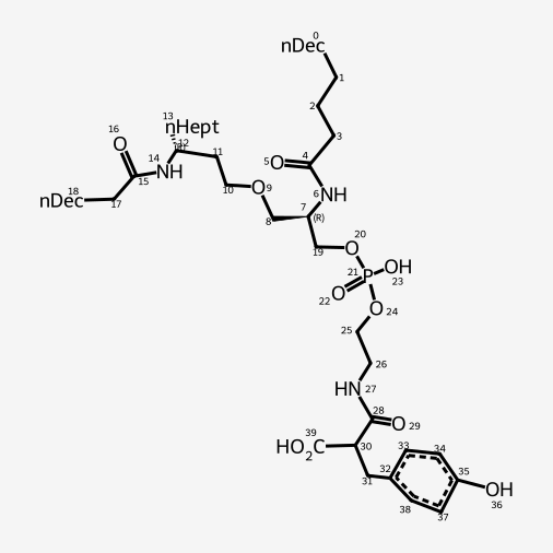 CCCCCCCCCCCCCC(=O)N[C@H](COCC[C@@H](CCCCCCC)NC(=O)CCCCCCCCCCC)COP(=O)(O)OCCNC(=O)C(Cc1ccc(O)cc1)C(=O)O